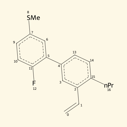 C=Cc1cc(-c2cc(SC)ccc2F)ccc1CCC